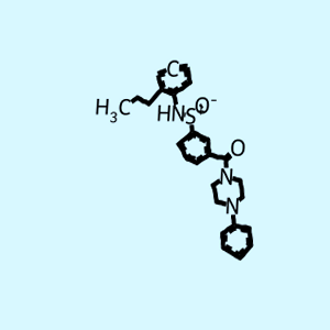 CCCc1ccccc1N[S+]([O-])c1cccc(C(=O)N2CCN(c3ccccc3)CC2)c1